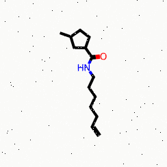 C=CCCCCCNC(=O)C1CCC(C)C1